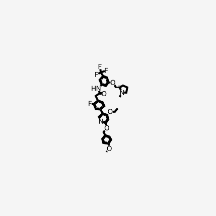 CCOc1cc(OCc2ccc(OC)cc2)ncc1-c1ccc(CC(=O)Nc2cc(OC[C@H]3CCCN3C)cc(C(F)(F)F)c2)c(F)c1